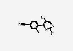 Cc1cc(C#N)ccc1-c1nc(Cl)ncc1Cl